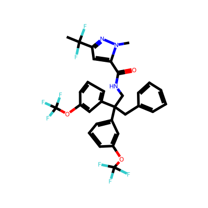 Cn1nc(C(C)(F)F)cc1C(=O)NCC(Cc1ccccc1)(c1cccc(OC(F)(F)F)c1)c1cccc(OC(F)(F)F)c1